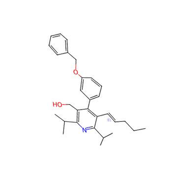 CCC/C=C/c1c(C(C)C)nc(C(C)C)c(CO)c1-c1cccc(OCc2ccccc2)c1